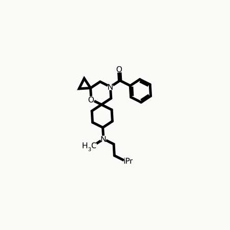 CC(C)CCN(C)C1CCC2(CC1)CN(C(=O)c1ccccc1)CC1(CC1)O2